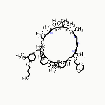 CO[C@@H]1C[C@H](CC2[C@H]3CCCN4C(=O)C(=O)[C@]5(O)O[C@@H](CC[C@H]5C)CC(OCC5COCCO5)/C(C)=C/C=C/C=C/[C@@H](C)C[C@@H](C)C(=O)[C@H](OC)[C@H](O)/C(C)=C/[C@@H](C)C(=O)C[C@@H]2OC(=O)C34)CC[C@H]1OCCCO